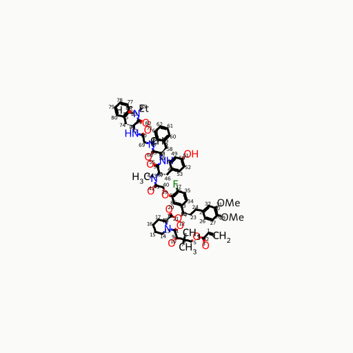 C=CC(=O)OCC(C)(C)C(=O)C(=O)N1CCCC[C@H]1C(=O)O[C@H](CCc1ccc(OC)c(OC)c1)c1ccc(F)c(OCC(=O)N(C)[C@@H](Cc2ccc(O)cc2)C(=O)N[C@H](Cc2ccccc2)C(=O)N(C)CC(=O)N[C@H](Cc2ccccc2)C(=O)N(C)CC)c1